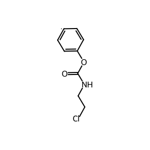 O=C(NCCCl)Oc1cc[c]cc1